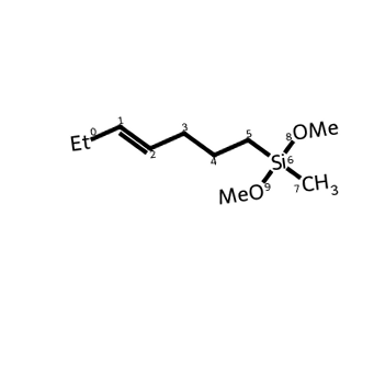 CCC=CCCC[Si](C)(OC)OC